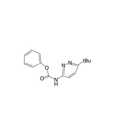 CC(C)(C)c1ccc(NC(=O)Oc2ccccc2)nn1